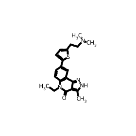 CCn1c(=O)c2c(C)[nH]nc2c2cc(-c3ccc(CCN(C)C)s3)ccc21